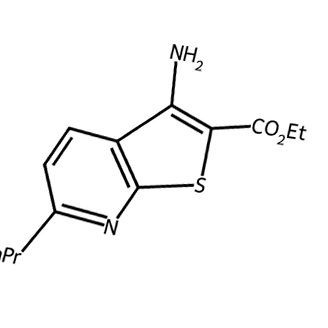 CCCc1ccc2c(N)c(C(=O)OCC)sc2n1